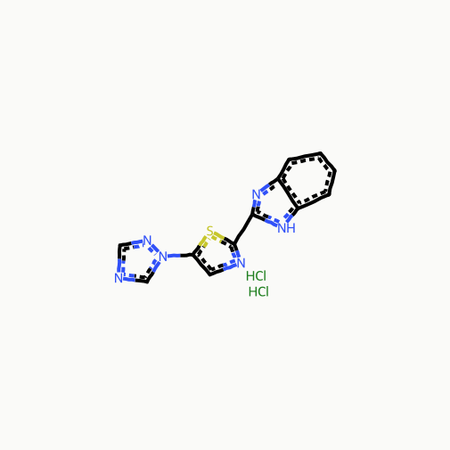 Cl.Cl.c1ccc2[nH]c(-c3ncc(-n4cncn4)s3)nc2c1